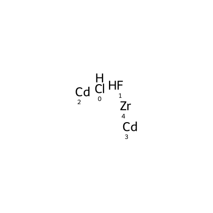 Cl.F.[Cd].[Cd].[Zr]